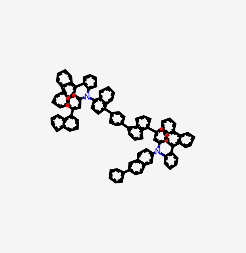 c1ccc(-c2ccc3cc(N(c4cccc(-c5cccc6c(-c7ccc(-c8ccc(N(c9cccc(-c%10cccc%11ccccc%10%11)c9)c9ccccc9-c9cc%10ccccc%10c%10ccccc9%10)c9ccccc89)cc7)cccc56)c4)c4ccccc4-c4cc5ccccc5c5ccccc45)ccc3c2)cc1